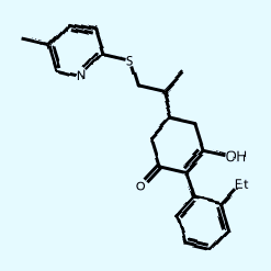 CCc1ccccc1C1=C(O)CC(C(C)CSc2ccc(C)cn2)CC1=O